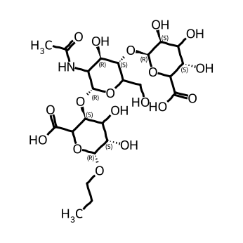 CCCO[C@@H]1OC(C(=O)O)[C@@H](O[C@H]2OC(CO)[C@@H](O[C@@H]3OC(C(=O)O)[C@@H](O)C(O)[C@@H]3O)[C@H](O)C2NC(C)=O)C(O)[C@@H]1O